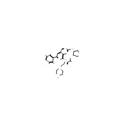 C=CC(O)N[C@H]1COC[C@H]1Nc1ncc2cc(-c3c(Cl)c(OC)cc(OC)c3Cl)nc(NCCN3CCN(C)CC3)c2n1